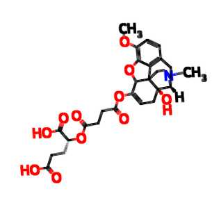 COc1ccc2c3c1OC1C(OC(=O)CCC(=O)O[C@H](CCC(=O)O)C(=O)O)=CC[C@@]4(O)[C@@H](C2)N(C)CCC314